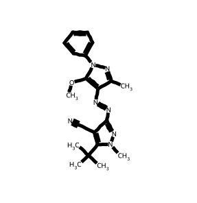 COc1c(/N=N/c2nn(C)c(C(C)(C)C)c2C#N)c(C)nn1-c1ccccc1